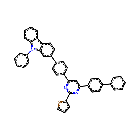 c1ccc(-c2ccc(-c3cc(-c4ccc(-c5ccc6c7ccccc7n(-c7ccccc7)c6c5)cc4)nc(-c4cccs4)n3)cc2)cc1